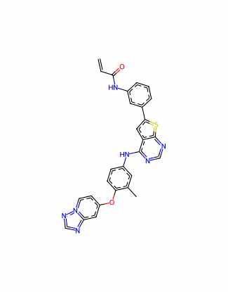 C=CC(=O)Nc1cccc(-c2cc3c(Nc4ccc(Oc5ccn6ncnc6c5)c(C)c4)ncnc3s2)c1